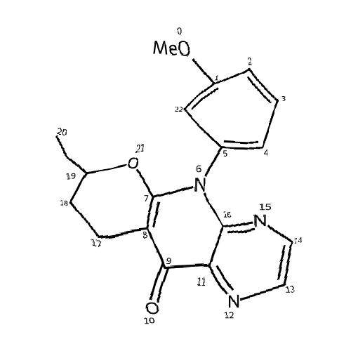 COc1cccc(-n2c3c(c(=O)c4nccnc42)CCC(C)O3)c1